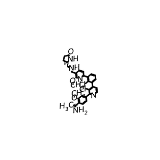 COc1cc(-c2nccc(-c3cccc(-c4ccc(CNC[C@H]5CCC(=O)N5)c(OC)n4)c3Cl)c2Cl)ccc1[C@@H](C)N